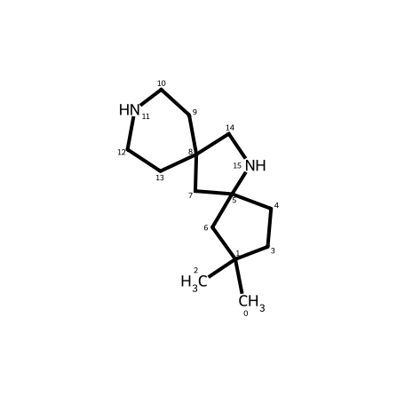 CC1(C)CCC2(C1)CC1(CCNCC1)CN2